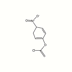 C=C(Cl)OC1=CCC([N+](=O)[O-])C=C1